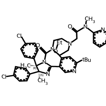 CCOc1cc(C(C)(C)C)ncc1C1=N[C@@](C)(c2ccc(Cl)cc2)[C@@](C)(c2ccc(Cl)cc2)N1C(=O)N1CCN(CC(=O)N(C)c2ccccn2)CC1